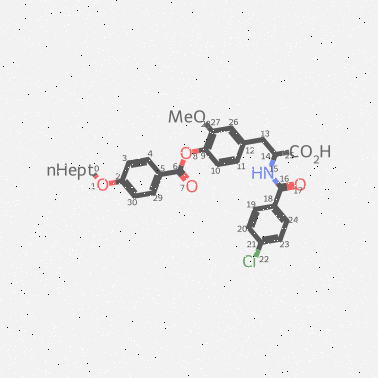 CCCCCCCOc1ccc(C(=O)Oc2ccc(CC(NC(=O)c3ccc(Cl)cc3)C(=O)O)cc2OC)cc1